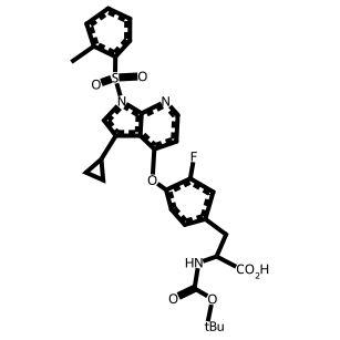 Cc1ccccc1S(=O)(=O)n1cc(C2CC2)c2c(Oc3ccc(CC(NC(=O)OC(C)(C)C)C(=O)O)cc3F)ccnc21